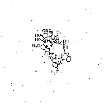 C/N=C1/N(C)CC(C(O)C2NC(=O)C(Cc3ccc(OC)cc3)NC(=O)C(C(C)c3ccccc3)NC(=O)CNC(=O)C(CO)NC(=O)C(C(O)C3CN(C)/C(=N/C)N3C3OC(CO)C(O)C(O)C3O)NC2=O)N1C